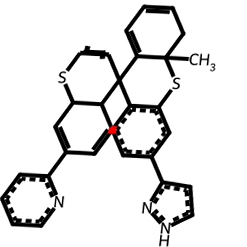 CC12CC=CC=C1C1(c3ccc(-c4cc[nH]n4)cc3S2)C2C=CC=CC2SC2C=C(c3ccccn3)C=CC21